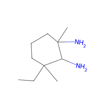 CCC1(C)CCCC(C)(N)C1N